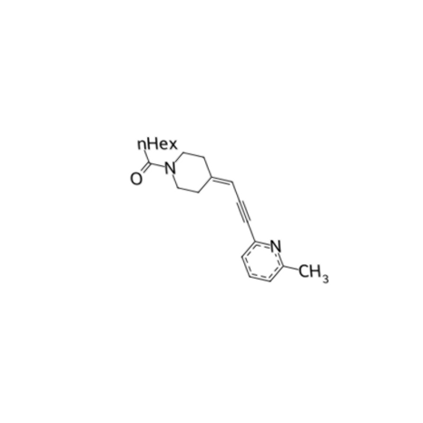 CCCCCCC(=O)N1CCC(=CC#Cc2cccc(C)n2)CC1